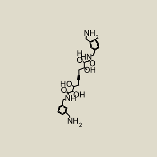 NCc1cccc(CNC(=O)C(O)C(O)CC#CCC(O)C(O)C(=O)NCc2cccc(CN)c2)c1